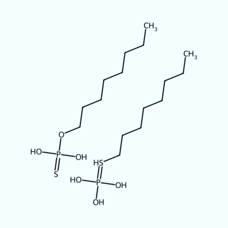 CCCCCCCCOP(O)(O)=S.CCCCCCCC[SH]=P(O)(O)O